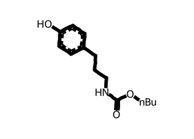 CCCCOC(=O)NCCCc1ccc(O)cc1